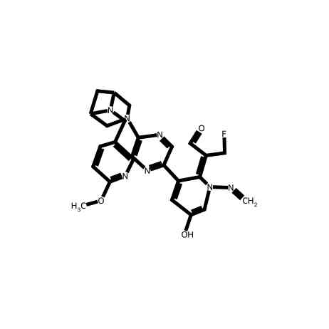 C=NN1C=C(O)C=C(c2cnc(N3CC4CC(C3)N4Cc3ccc(OC)nc3)cn2)/C1=C(\C=O)CF